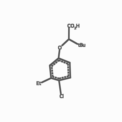 CCc1cc(OC(C(=O)O)C(C)(C)C)ccc1Cl